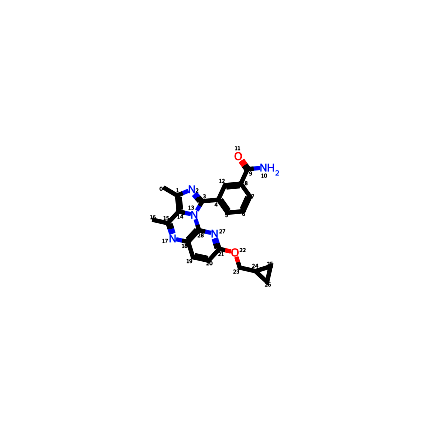 Cc1nc(-c2cccc(C(N)=O)c2)n2c1c(C)nc1ccc(OCC3CC3)nc12